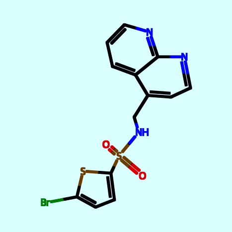 O=S(=O)(NCc1ccnc2ncccc12)c1ccc(Br)s1